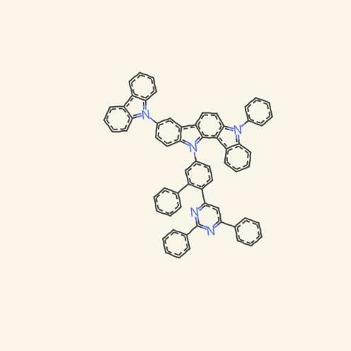 c1ccc(-c2cc(-c3ccc(-n4c5ccc(-n6c7ccccc7c7ccccc76)cc5c5ccc6c(c7ccccc7n6-c6ccccc6)c54)cc3-c3ccccc3)nc(-c3ccccc3)n2)cc1